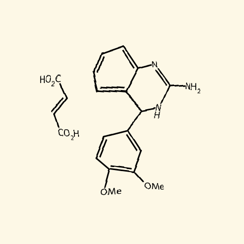 COc1ccc(C2NC(N)=Nc3ccccc32)cc1OC.O=C(O)C=CC(=O)O